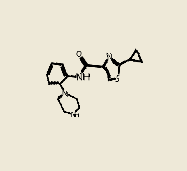 O=C(Nc1ccccc1N1CCNCC1)c1csc(C2CC2)n1